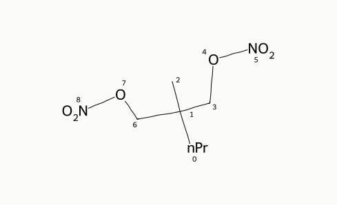 CCCC(C)(CO[N+](=O)[O-])CO[N+](=O)[O-]